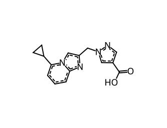 O=C(O)c1cnn(Cc2cn3c(C4CC4)cccc3n2)c1